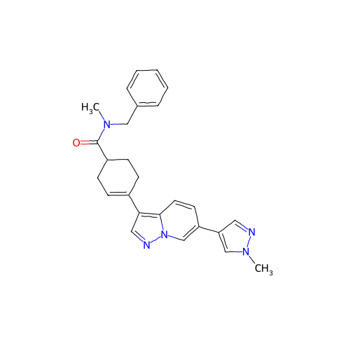 CN(Cc1ccccc1)C(=O)C1CC=C(c2cnn3cc(-c4cnn(C)c4)ccc23)CC1